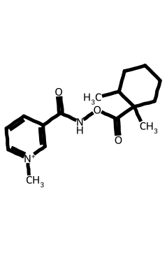 CC1CCCCC1(C)C(=O)ONC(=O)c1ccc[n+](C)c1